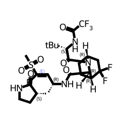 CC(C)(C)[C@H](NC(=O)C(F)(F)F)C(=O)N1[C@@H]2CC[C@H]([C@@H]1C(=O)N[C@@H](/C=C(\F)S(C)(=O)=O)C[C@@H]1CCNC1=O)C(F)(F)C2